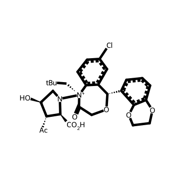 CC(=O)[C@@H]1[C@@H](O)CN([N@+]2(CC(C)(C)C)C(=O)CO[C@@H](c3cccc4c3OCCO4)c3cc(Cl)ccc32)[C@H]1C(=O)O